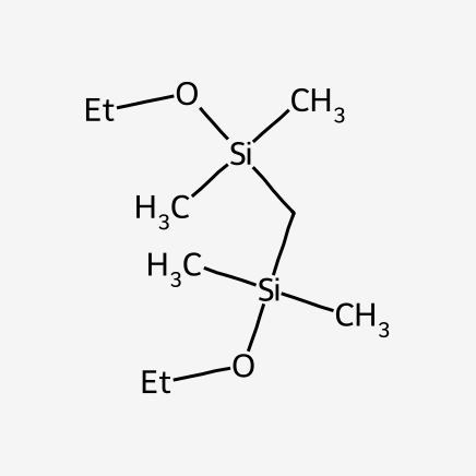 CCO[Si](C)(C)C[Si](C)(C)OCC